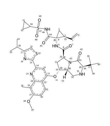 C=C[C@@H]1C[C@]1(NC(=O)[C@@H]1C[C@@H](Oc2cc(-c3nc(C(C)C)cs3)nc3c(C)c(OC)ccc23)[C@H]2CN[C@H](C(C)(C)C)C(=O)N21)C(=O)NS(=O)(=O)C1CC1